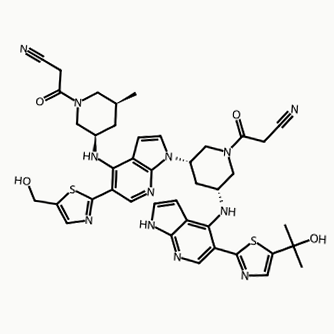 C[C@H]1C[C@@H](Nc2c(-c3ncc(CO)s3)cnc3c2ccn3[C@H]2C[C@@H](Nc3c(-c4ncc(C(C)(C)O)s4)cnc4[nH]ccc34)CN(C(=O)CC#N)C2)CN(C(=O)CC#N)C1